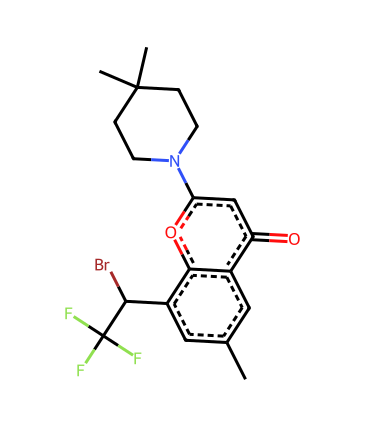 Cc1cc(C(Br)C(F)(F)F)c2oc(N3CCC(C)(C)CC3)cc(=O)c2c1